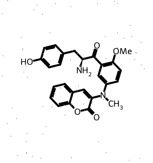 COc1ccc(N(C)c2cc3ccccc3oc2=O)cc1C(=O)[C@@H](N)Cc1ccc(O)cc1